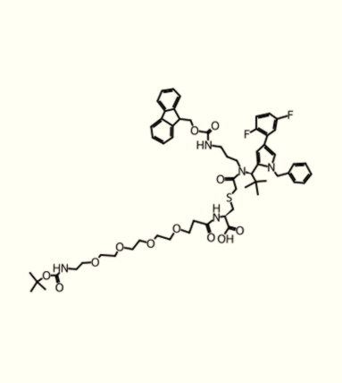 CC(C)(C)OC(=O)NCCOCCOCCOCCOCCC(=O)N[C@@H](CSCC(=O)N(CCCNC(=O)OCC1c2ccccc2-c2ccccc21)[C@@H](c1cc(-c2cc(F)ccc2F)cn1Cc1ccccc1)C(C)(C)C)C(=O)O